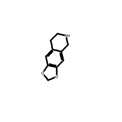 [CH]1Oc2cc3c(cc2O1)CNCC3